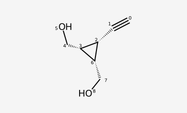 C#C[C@H]1[C@@H](CO)[C@H]1CO